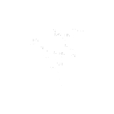 C[C@H]1CN(c2ccncc2NC(=O)c2nc3cc(N4CCNC(=O)C4)ccc3cc2NC(=O)OCc2ccccc2)C[C@@H](NC(=O)OC(C)(C)C)[C@H]1n1ccnn1